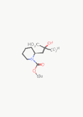 CC(C)(C)OC(=O)N1CCCC[C@H]1CC(O)(C(=O)O)C(=O)O